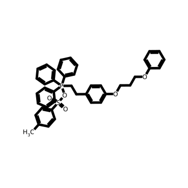 Cc1ccc(S(=O)(=O)OP(CCc2ccc(OCCCOc3ccccc3)cc2)(c2ccccc2)(c2ccccc2)c2ccccc2)cc1